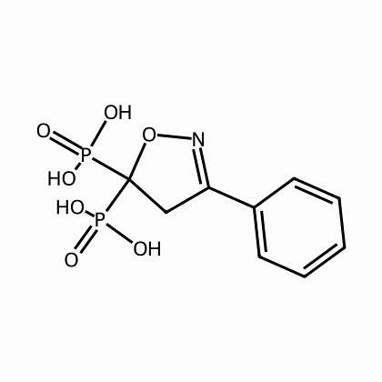 O=P(O)(O)C1(P(=O)(O)O)CC(c2ccccc2)=NO1